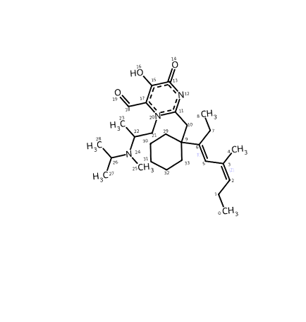 CC/C=C(C)\C=C(/CC)C1(Cc2nc(=O)c(O)c(C=O)n2CC(C)N(C)C(C)C)CCCCC1